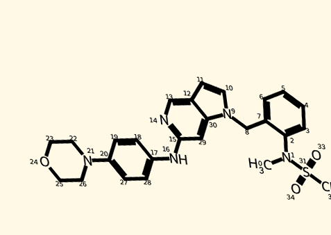 CN(c1ccccc1Cn1ccc2cnc(Nc3ccc(N4CCOCC4)cc3)cc21)S(C)(=O)=O